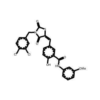 COc1cccc(NC(=O)c2cc(/C=C3/SC(=O)N(Cc4ccc(Cl)c(Cl)c4)C3=O)ccc2O)c1